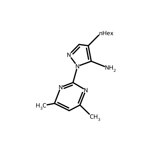 CCCCCCc1cnn(-c2nc(C)cc(C)n2)c1N